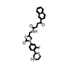 O=C(CCC(=O)c1ccc2ccccc2c1)NCC1CN(c2ccc(C3CNCCS3)c(F)c2)C(=O)O1